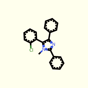 Cn1c(-c2ccccc2)nc(-c2ccccc2)c1-c1ccccc1Cl